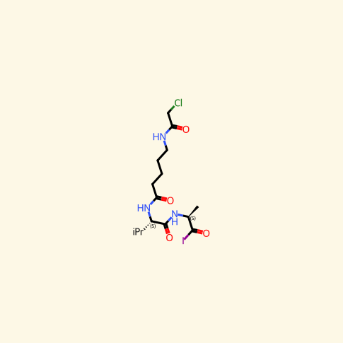 CC(C)[C@H](NC(=O)CCCCNC(=O)CCl)C(=O)N[C@@H](C)C(=O)I